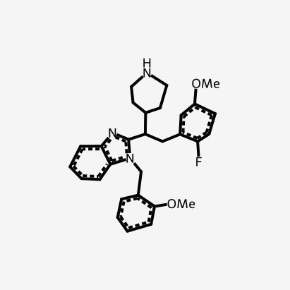 COc1ccc(F)c(CC(c2nc3ccccc3n2Cc2ccccc2OC)C2CCNCC2)c1